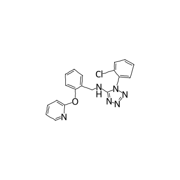 Clc1ccccc1-n1nnnc1NCc1ccccc1Oc1ccccn1